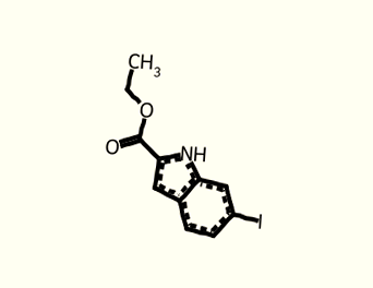 CCOC(=O)c1cc2ccc(I)cc2[nH]1